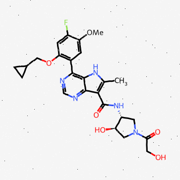 COc1cc(-c2ncnc3c(C(=O)N[C@@H]4CN(C(=O)CO)C[C@H]4O)c(C)[nH]c23)c(OCC2CC2)cc1F